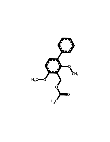 COc1ccc(-c2ccccc2)c(OC)c1COC(C)=O